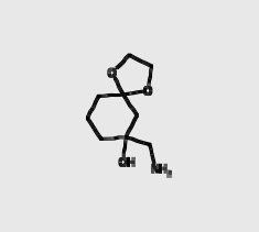 NCC1(O)CCCC2(C1)OCCO2